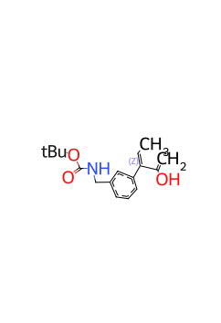 C=C(O)/C(=C\C)c1cccc(CNC(=O)OC(C)(C)C)c1